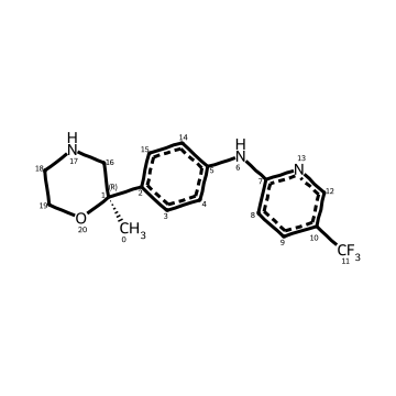 C[C@@]1(c2ccc(Nc3ccc(C(F)(F)F)cn3)cc2)CNCCO1